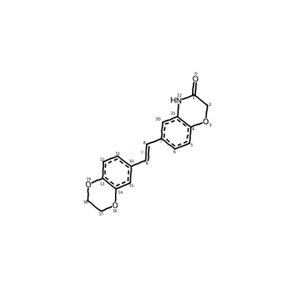 O=C1COc2ccc(/C=C/c3ccc4c(c3)OCCO4)cc2N1